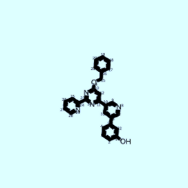 Oc1cccc(-c2cncc(-c3cc(OCc4ccccc4)nc(-c4ccccn4)n3)c2)c1